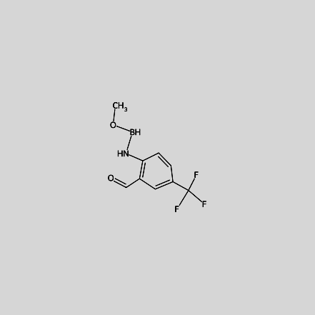 COBNc1ccc(C(F)(F)F)cc1C=O